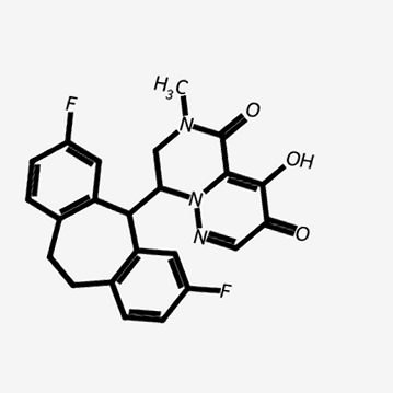 CN1CC(C2c3cc(F)ccc3CCc3ccc(F)cc32)n2ncc(=O)c(O)c2C1=O